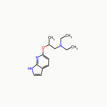 CCN(CC)CC(C)Oc1ccc2[c]c[nH]c2n1